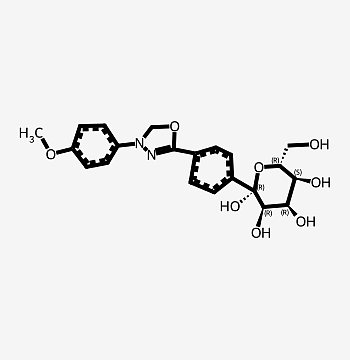 COc1ccc(N2COC(c3ccc([C@@]4(O)O[C@H](CO)[C@@H](O)[C@@H](O)[C@H]4O)cc3)=N2)cc1